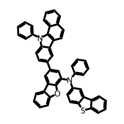 c1ccc(N(c2ccc3sc4ccccc4c3c2)c2cc(-c3ccc4c(c3)c3ccc5ccccc5c3n4-c3ccccc3)cc3c2oc2ccccc23)cc1